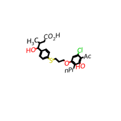 CCCc1c(OCCCSc2ccc(C(O)C(C)CC(=O)O)cc2)cc(Cl)c(C(C)=O)c1O